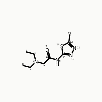 CCN(CC)CC(=O)Nc1nnc(C)s1